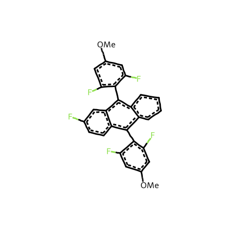 COc1cc(F)c(-c2c3ccccc3c(-c3c(F)cc(OC)cc3F)c3cc(F)ccc23)c(F)c1